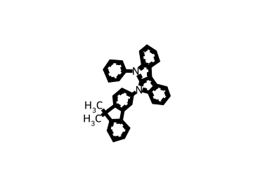 CC1(C)c2ccccc2-c2cc(-n3c4ccccc4c4c5ccccc5n(-c5ccccc5)c43)ccc21